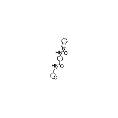 O=C(NCCC1CCCOC1)c1ccc(NC(=O)N2Cc3ccccc3C2)cc1